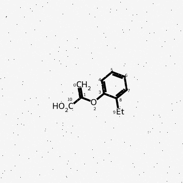 C=C(Oc1ccccc1CC)C(=O)O